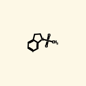 CS(=O)(=O)N1CCc2cc[c]cc21